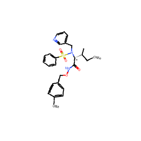 COCC(C)[C@H](C(=O)NOCc1ccc(OC)cc1)N(Cc1cccnc1)S(=O)(=O)c1ccccc1